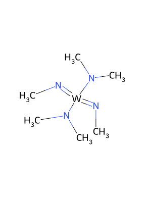 C[N]=[W](=[N]C)([N](C)C)[N](C)C